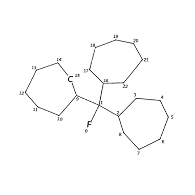 FC(C1CCCCCC1)(C1CCCCCC1)C1CCCCCC1